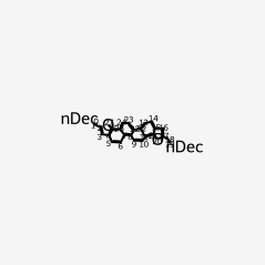 CCCCCCCCCCCc1cc2ccc3c4ccc5c(ccc6cc(CCCCCCCCCCC)oc65)c4ccc3c2o1